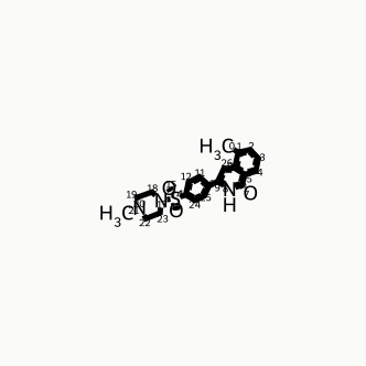 Cc1cccc2c(=O)[nH]c(-c3ccc(S(=O)(=O)N4CCN(C)CC4)cc3)cc12